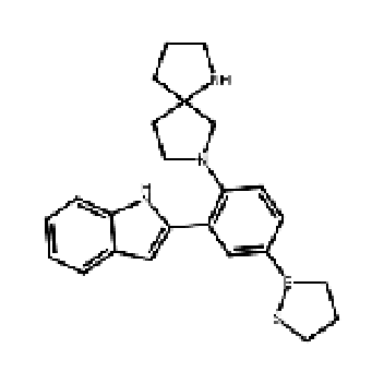 c1ccc2[nH]c(-c3cc(B4CCCS4)ccc3N3CCC4(CCCN4)C3)cc2c1